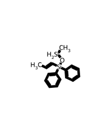 CC=C[Si](O[SiH2]C)(c1ccccc1)c1ccccc1